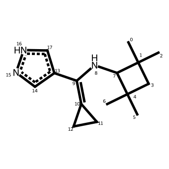 CC1(C)CC(C)(C)C1NC(=C1CC1)c1cn[nH]c1